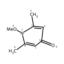 COn1c(C)cc(=O)cc1C